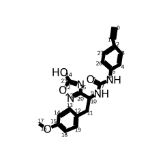 C#Cc1ccc(NC(=O)NC(Cc2ccc(OC)cc2)c2noc(O)n2)cc1